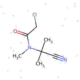 CN(C(=O)CCl)C(C)(C)C#N